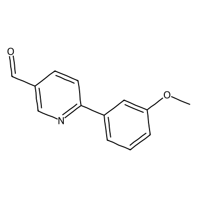 COc1cccc(-c2ccc(C=O)cn2)c1